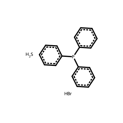 Br.S.c1ccc(P(c2ccccc2)c2ccccc2)cc1